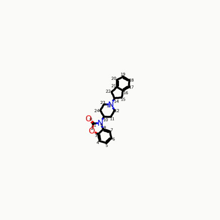 O=c1oc2ccccc2n1C1CCN(C2Cc3ccccc3C2)CC1